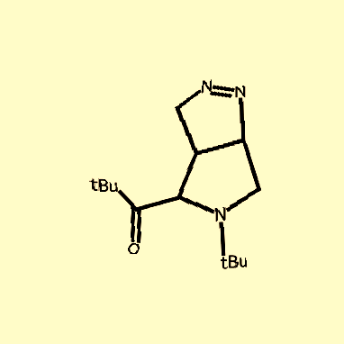 CC(C)(C)C(=O)C1C2CN=NC2CN1C(C)(C)C